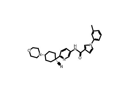 Cc1cccc(-n2ccc(C(=O)Nc3ccc([C@]4(C#N)CC[C@@H](N5CCOCC5)CC4)nc3)c2)c1